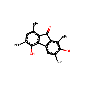 CCCc1cc2c(c(CCC)c1O)C(=O)c1c(CCC)cc(CCC)c(O)c1-2